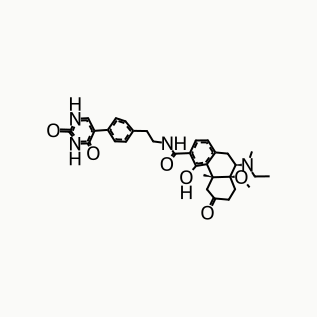 CCN(C)[C@@H]1Cc2ccc(C(=O)NCCc3ccc(-c4c[nH]c(=O)[nH]c4=O)cc3)c(O)c2[C@@]2(C)CC(=O)CC[C@@]12OC